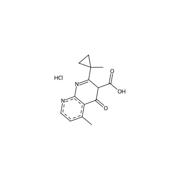 Cc1ccnc2c1C(=O)C(C(=O)O)C(C1(C)CC1)=N2.Cl